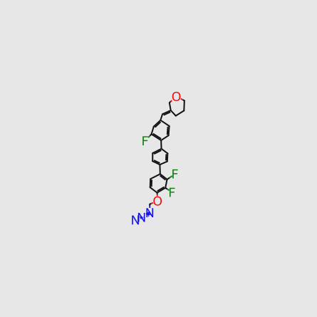 [N-]=[N+]=NCOc1ccc(-c2ccc(-c3ccc(C=C4CCCOC4)cc3F)cc2)c(F)c1F